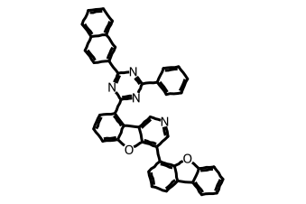 c1ccc(-c2nc(-c3ccc4ccccc4c3)nc(-c3cccc4oc5c(-c6cccc7c6oc6ccccc67)cncc5c34)n2)cc1